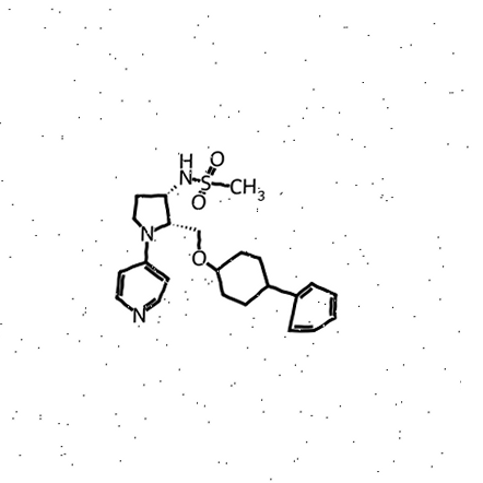 CS(=O)(=O)N[C@H]1CCN(c2ccncc2)[C@H]1COC1CCC(c2ccccc2)CC1